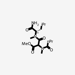 CCCC(=O)N(C)C(C(=O)OC)C(=O)N(C)[C@@H](CC(C)C)C(N)=O